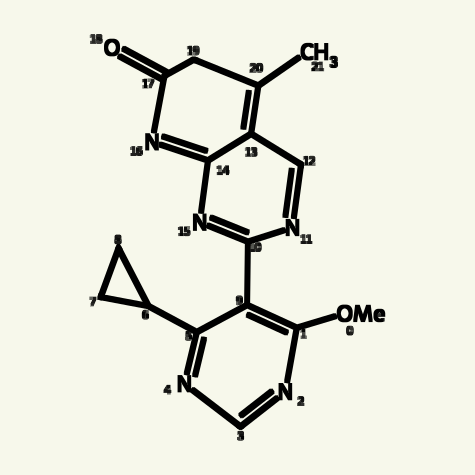 COc1ncnc(C2CC2)c1-c1ncc2c(n1)=NC(=O)CC=2C